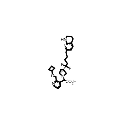 O=C(O)C(c1cccnc1COC1CCC1)N1CC[C@@H](C(F)(F)CCCCc2ccc3c(n2)NCCC3)C1